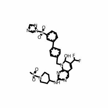 CS(=O)(=O)N1CCC(Nc2ncc3c(n2)N(Cc2ccc(-c4cccc(S(=O)(=O)n5cncn5)c4)cc2)C(O)C(C(F)F)=C3)CC1